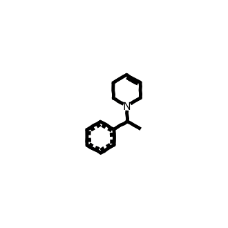 CC(c1ccccc1)N1CC=CCC1